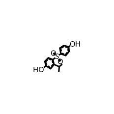 CC(C)c1cc(O)ccc1S(=O)(=O)c1ccc(O)cc1